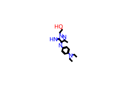 CCN(CC)c1ccc(N=C2C(=N)N(CCO)N=C2C)cc1